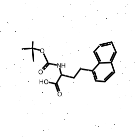 CC(C)(C)OC(=O)NC(CCc1cccc2ccccc12)C(=O)O